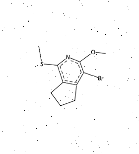 COc1nc(SC)c2c(c1Br)CCC2